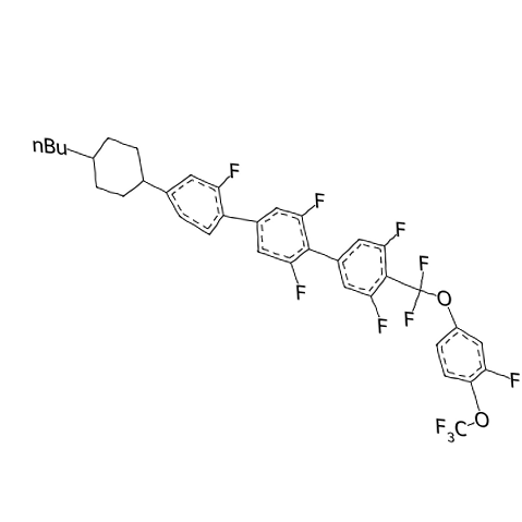 CCCCC1CCC(c2ccc(-c3cc(F)c(-c4cc(F)c(C(F)(F)Oc5ccc(OC(F)(F)F)c(F)c5)c(F)c4)c(F)c3)c(F)c2)CC1